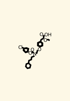 CCOC(Cc1ccc(OCCN(CCCCC2CCCCC2)C(=O)Oc2ccc(Cl)cc2)cc1)C(=O)O